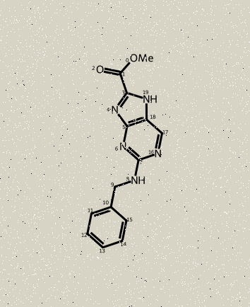 COC(=O)c1nc2nc(NCc3ccccc3)ncc2[nH]1